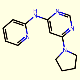 c1ccc(Nc2cc(N3CCCC3)ncn2)nc1